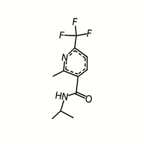 Cc1nc(C(F)(F)F)ccc1C(=O)NC(C)C